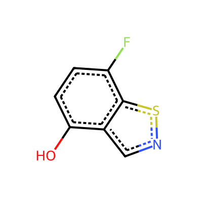 Oc1ccc(F)c2sncc12